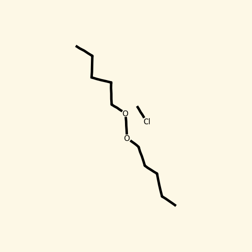 CCCCCOOCCCCC.CCl